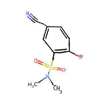 CN(C)S(=O)(=O)c1cc(C#N)ccc1Br